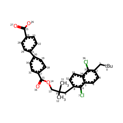 [CH2]C(C)(C)Cc1ccc2c(Cl)c(CC(C)(C)COC(=O)c3ccc(-c4ccc(C([O])=O)cc4)cc3)ccc2c1Cl